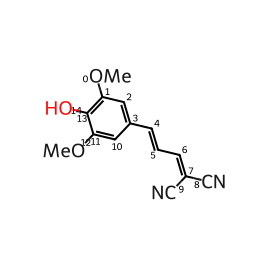 COc1cc(C=CC=C(C#N)C#N)cc(OC)c1O